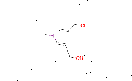 CP(C=CCO)C=CCO